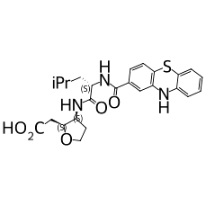 CC(C)C[C@H](NC(=O)c1ccc2c(c1)Nc1ccccc1S2)C(=O)N[C@H]1CCO[C@H]1CC(=O)O